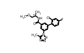 COC[C@@H](C)NC(=O)c1cc(-c2ccc(F)cc2Cl)cc(-n2nnnc2C)c1